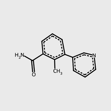 Cc1c(C(N)=O)cccc1-c1cccnc1